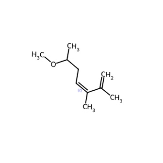 C=C(C)/C(C)=C\CC(C)OC